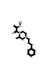 C=C(OCC)C(=O)N1CCN(CCCc2ccccc2)CC1C